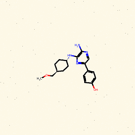 COC[C@H]1CC[C@H](Nc2nc(-c3ccc(O)cc3)cnc2N)CC1